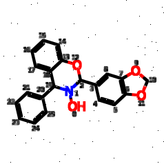 ON1C(c2ccc3c(c2)OCO3)Oc2ccccc2C1c1ccccc1